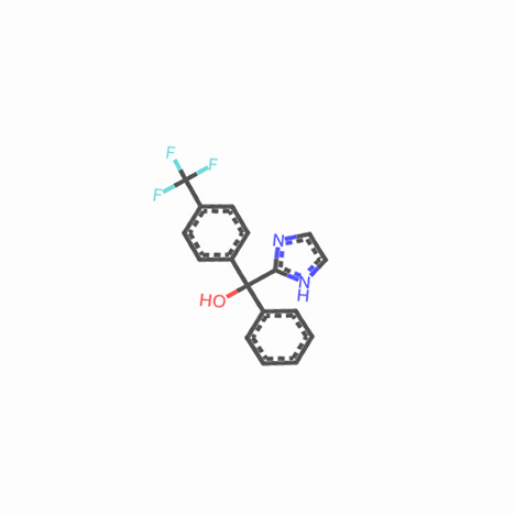 OC(c1ccccc1)(c1ccc(C(F)(F)F)cc1)c1ncc[nH]1